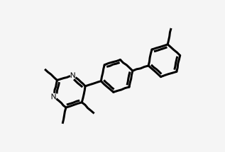 Cc1cccc(-c2ccc(-c3nc(C)nc(C)c3C)cc2)c1